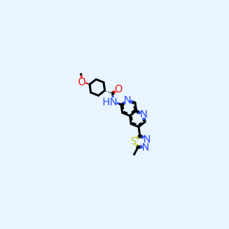 CO[C@H]1CC[C@H](C(=O)Nc2cc3cc(-c4nnc(C)s4)cnc3cn2)CC1